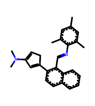 Cc1cc(C)c(N=Cc2c(C3=CC(N(C)C)=CC3)ccc3ccccc23)c(C)c1